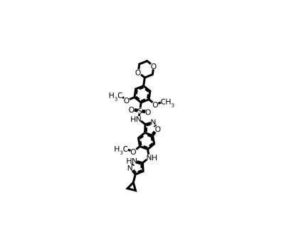 COc1cc2c(NS(=O)(=O)c3c(OC)cc(C4COCCO4)cc3OC)noc2cc1Nc1cc(C2CC2)n[nH]1